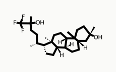 C[C@H](CCC(C)(O)C(F)(F)F)[C@H]1CC[C@H]2[C@@H]3CC[C@H]4C[C@@](C)(O)CCC4(C)[C@H]3CC[C@]12C